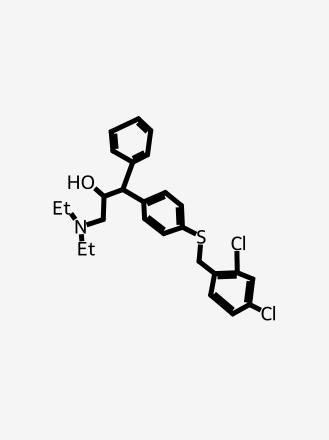 CCN(CC)CC(O)C(c1ccccc1)c1ccc(SCc2ccc(Cl)cc2Cl)cc1